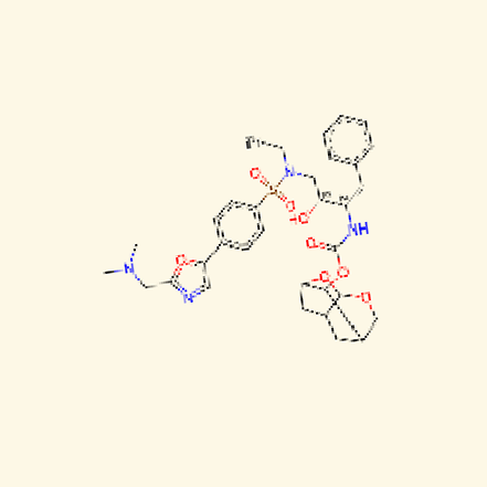 CC(C)CN(C[C@@H](O)[C@H](Cc1ccccc1)NC(=O)OC1C2COC3OC1CC3C2)S(=O)(=O)c1ccc(-c2cnc(CN(C)C)o2)cc1